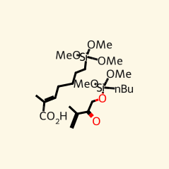 C=C(C)C(=O)CO[Si](CCCC)(OC)OC.CO[Si](CCCCC=C(C)C(=O)O)(OC)OC